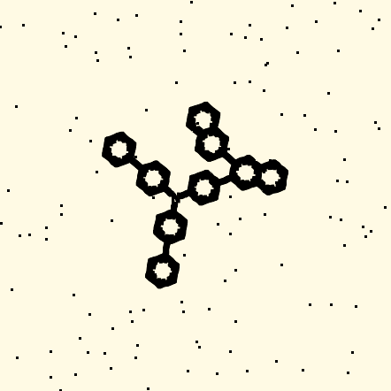 c1ccc(-c2ccc(N(c3ccc(-c4ccccc4)cc3)c3ccc(-c4cc5ccccc5cc4-c4ccc5ccccc5c4)cc3)cc2)cc1